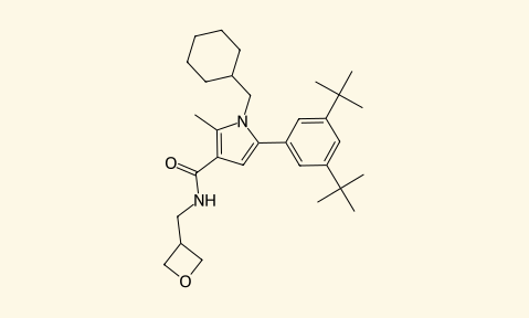 Cc1c(C(=O)NCC2COC2)cc(-c2cc(C(C)(C)C)cc(C(C)(C)C)c2)n1CC1CCCCC1